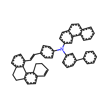 C1=Cc2ccc3c(c2CC1)-c1c(C=Cc2ccc(N(c4cccc(-c5ccccc5)c4)c4ccc5ccc6ccccc6c5c4)cc2)cccc1CC3